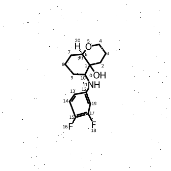 OC12CCCO[C@@H]1CCCC2Nc1ccc(F)c(F)c1